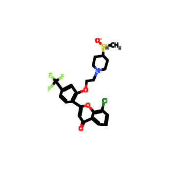 C[S@+]([O-])C1CCN(CCOc2cc(C(F)(F)F)ccc2-c2cc(=O)c3cccc(Cl)c3o2)CC1